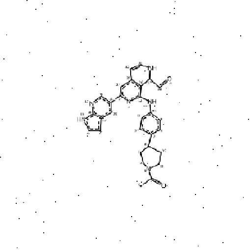 CC(=O)N1CCC(c2ccc(Nc3nc(-c4cnc5[nH]ccc5c4)cc4c3C(C=O)NC=C4)cc2)CC1